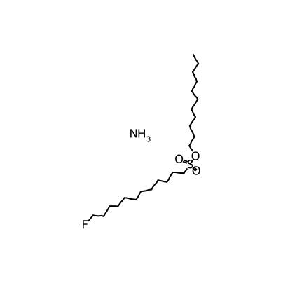 CCCCCCCCCCCOS(=O)(=O)CCCCCCCCCCCCF.N